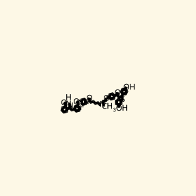 CN(CCCCCC(=O)N1CCN(C(=O)c2cc(Cc3n[nH]c(=O)c4ccccc34)ccc2F)CC1)CCOc1ccc(C(=O)c2c(-c3ccc(O)cc3)sc3cc(O)ccc23)cc1